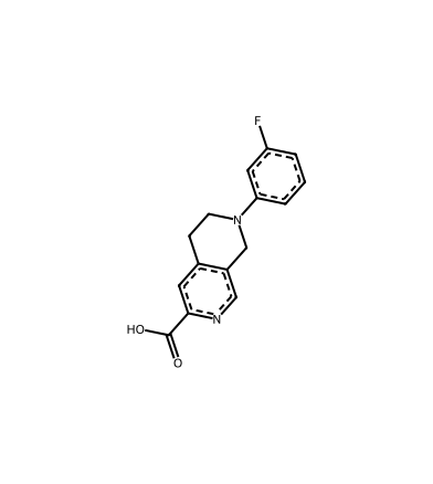 O=C(O)c1cc2c(cn1)CN(c1cccc(F)c1)CC2